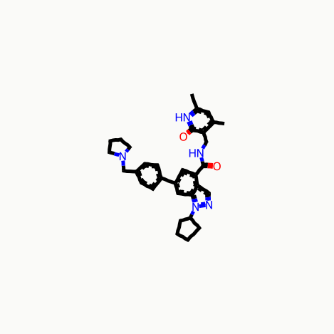 Cc1cc(C)c(CNC(=O)c2cc(-c3ccc(CN4CCCC4)cc3)cc3c2cnn3C2CCCC2)c(=O)[nH]1